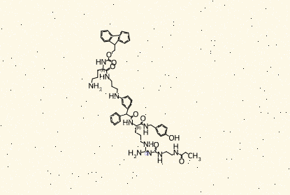 CCC(=O)NCCNC(=O)/N=C(/N)NCCC[C@@H](NC(=O)C(c1ccccc1)c1cccc(NCCCNC(=O)[C@@H](CCCN)NC(=O)OCC2c3ccccc3-c3ccccc32)c1)C(=O)NCc1ccc(O)cc1